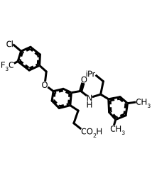 Cc1cc(C)cc(C(CC(C)C)NC(=O)c2cc(OCc3ccc(Cl)c(C(F)(F)F)c3)ccc2CCC(=O)O)c1